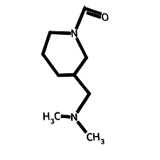 CN(C)CC1CCCN([C]=O)C1